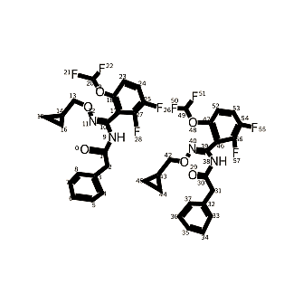 O=C(Cc1ccccc1)N/C(=N/OCC1CC1)c1c(OC(F)F)ccc(F)c1F.O=C(Cc1ccccc1)N/C(=N\OCC1CC1)c1c(OC(F)F)ccc(F)c1F